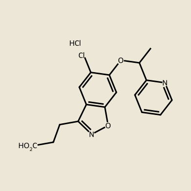 CC(Oc1cc2onc(CCC(=O)O)c2cc1Cl)c1ccccn1.Cl